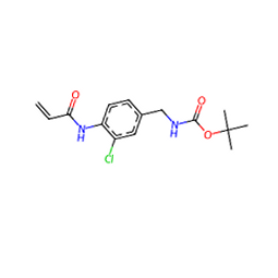 C=CC(=O)Nc1ccc(CNC(=O)OC(C)(C)C)cc1Cl